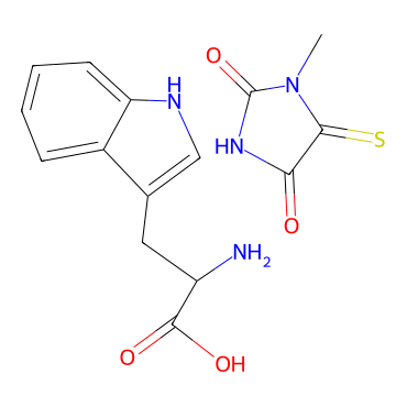 CN1C(=O)NC(=O)C1=S.NC(Cc1c[nH]c2ccccc12)C(=O)O